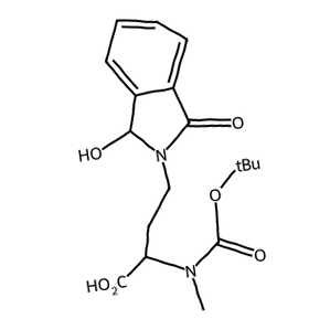 CN(C(=O)OC(C)(C)C)C(CCN1C(=O)c2ccccc2C1O)C(=O)O